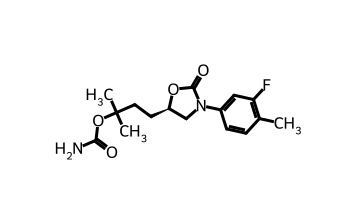 Cc1ccc(N2C[C@@H](CCC(C)(C)OC(N)=O)OC2=O)cc1F